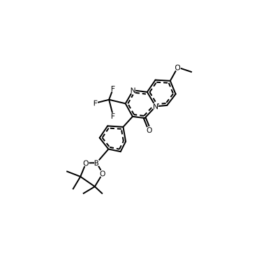 COc1ccn2c(=O)c(-c3ccc(B4OC(C)(C)C(C)(C)O4)cc3)c(C(F)(F)F)nc2c1